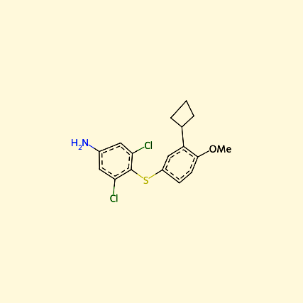 COc1ccc(Sc2c(Cl)cc(N)cc2Cl)cc1C1CCC1